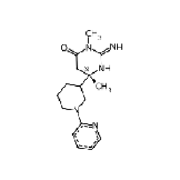 CN1C(=N)N[C@](C)(C2CCCN(c3ccccn3)C2)CC1=O